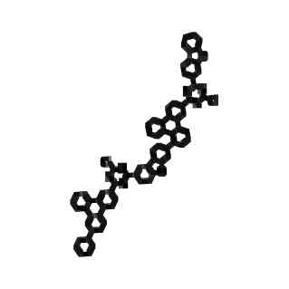 Clc1nc(-c2ccc3oc4cc(-c5cccc6c7cc(-c8nc(Cl)nc(-c9ccc%10c(c9)oc9ccccc9%10)n8)ccc7c7ccccc7c56)ccc4c3c2)nc(-c2ccc3c4ccc(-c5ccccc5)cc4c4ccccc4c3c2)n1